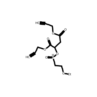 C#CCOC(=O)CC(O[PH](=O)CCOCC)C(=O)OCC#C